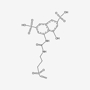 C=CS(=O)(=O)CCCNC(=O)Nc1cc(S(=O)(=O)O)cc2cc(S(=O)(=O)O)cc(O)c12